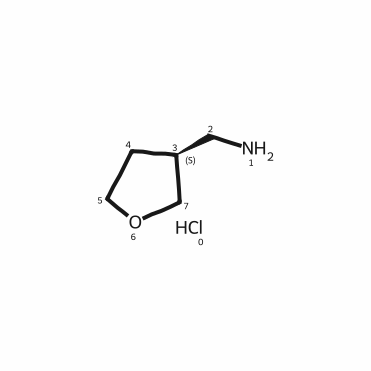 Cl.NC[C@@H]1CCOC1